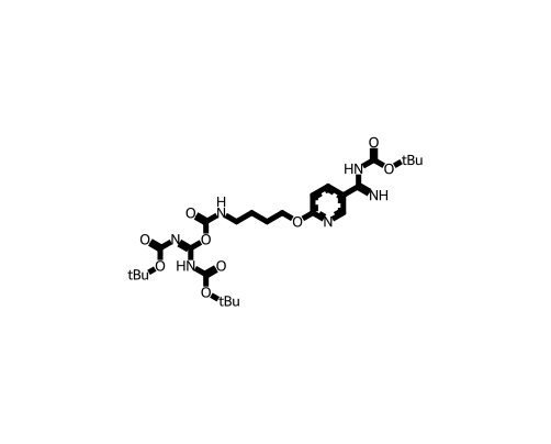 CC(C)(C)OC(=O)N=C(NC(=O)OC(C)(C)C)OC(=O)NCCCCOc1ccc(C(=N)NC(=O)OC(C)(C)C)cn1